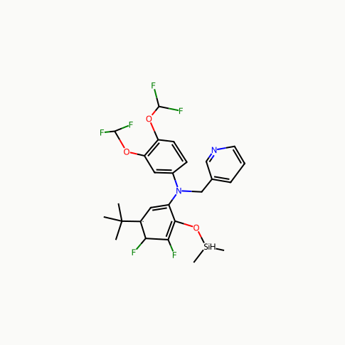 C[SiH](C)OC1=C(F)C(F)[C](C(C)(C)C)C=C1N(Cc1cccnc1)c1ccc(OC(F)F)c(OC(F)F)c1